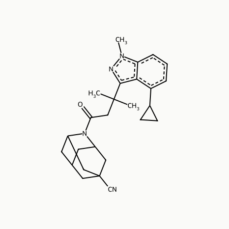 Cn1nc(C(C)(C)CC(=O)N2C3CC4CC2CC(C#N)(C4)C3)c2c(C3CC3)cccc21